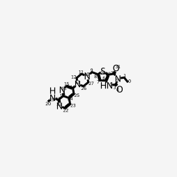 CCn1c(=O)[nH]c2cc(CN3CCN(c4cnc5c(NC)nccc5c4)CC3)sc2c1=O